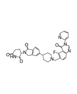 O=C1CCC(N2Cc3cc(C4CCN(Cc5ccc6ncn(-c7ccccn7)c(=O)c6c5F)CC4)ccc3C2=O)C(=O)N1